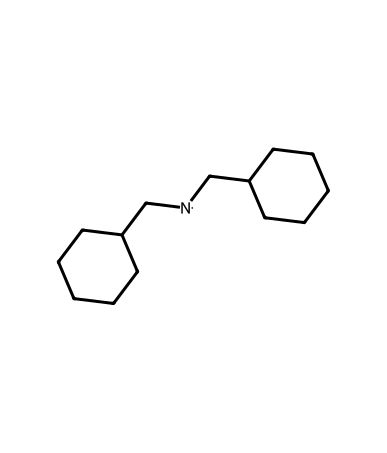 C1CCC(C[N]CC2CCCCC2)CC1